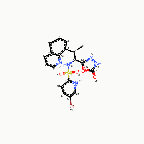 C[C@H](c1cccc2cccnc12)[C@H](NS(=O)(=O)c1ccc(Br)cn1)c1n[nH]c(=O)o1